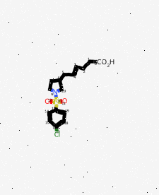 O=C(O)CCC=CCC1CCN(S(=O)(=O)c2ccc(Cl)cc2)C1